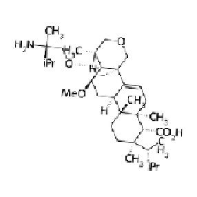 CO[C@@H]1C[C@@]23COC[C@@](C)([C@@H]2CC[C@H]2C3=CC[C@@]3(C)[C@H](C(=O)O)[C@@](C)([C@H](C)C(C)C)CC[C@]23C)[C@H]1OC[C@@](C)(N)C(C)C